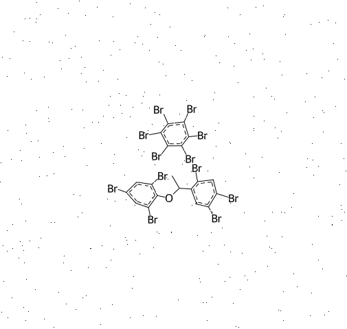 Brc1c(Br)c(Br)c(Br)c(Br)c1Br.CC(Oc1c(Br)cc(Br)cc1Br)c1cc(Br)c(Br)cc1Br